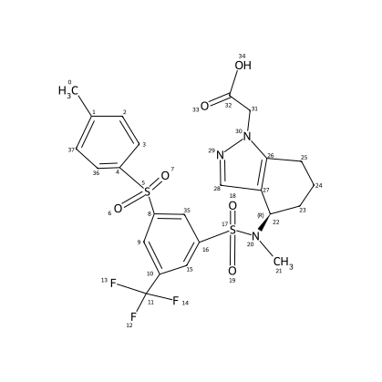 Cc1ccc(S(=O)(=O)c2cc(C(F)(F)F)cc(S(=O)(=O)N(C)[C@@H]3CCCc4c3cnn4CC(=O)O)c2)cc1